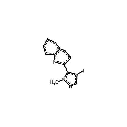 Cn1ncc(I)c1-c1ccc2ccccc2n1